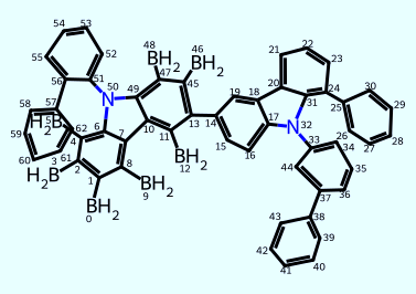 Bc1c(B)c(B)c2c(c1B)c1c(B)c(-c3ccc4c(c3)c3cccc(-c5ccccc5)c3n4-c3cccc(-c4ccccc4)c3)c(B)c(B)c1n2-c1ccccc1-c1ccccc1